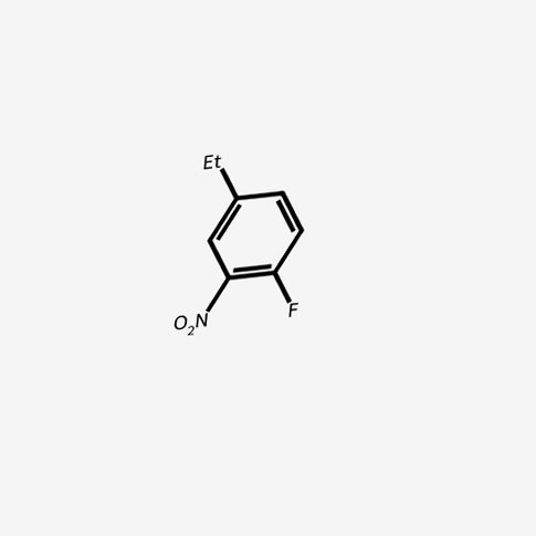 CCc1ccc(F)c([N+](=O)[O-])c1